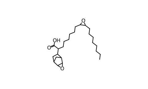 CCCCCCCCC1OC1CCCCCCC(C(=O)O)C1CC2CC1C1OC21